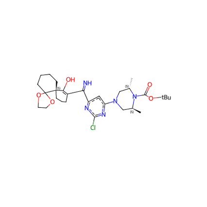 C[C@H]1CN(c2cc(C(=N)C3=C(O)[C@]4(CCCCC45OCCO5)CCC3)nc(Cl)n2)C[C@H](C)N1C(=O)OC(C)(C)C